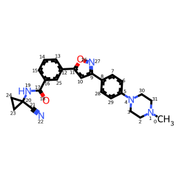 CN1CCN(c2ccc(-c3cc(-c4cccc(C(=O)NC5(C#N)CC5)c4)on3)cc2)CC1